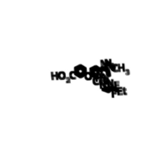 CCC(F)(F)c1ccnc(NCc2c(-c3ccc(O[C@H]4CCC[C@H](C(=O)O)C4)c(C)n3)nnn2C)n1